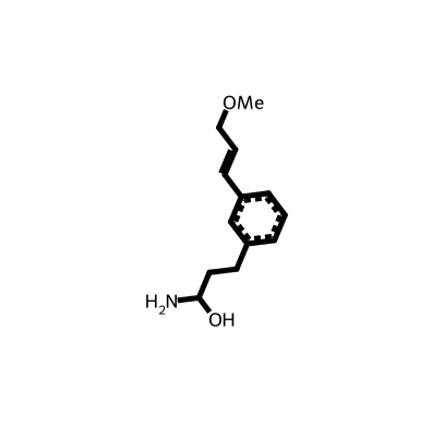 COC/C=C/c1cccc(CCC(N)O)c1